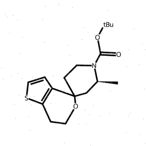 C[C@H]1CC2(CCN1C(=O)OC(C)(C)C)OCCc1sccc12